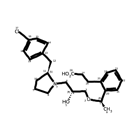 C[C@@H](OC[C@H](O)CN1CCC[C@H]1Cc1ccc(Cl)cc1)c1ccccc1CCC(=O)O